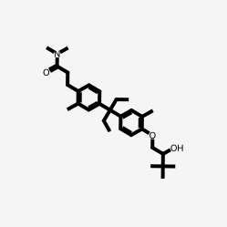 CCC(CC)(c1ccc(CCC(=O)N(C)C)c(C)c1)c1ccc(OCC(O)C(C)(C)C)c(C)c1